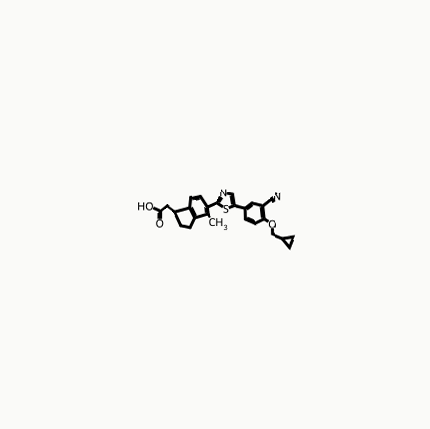 Cc1c(-c2ncc(-c3ccc(OCC4CC4)c(C#N)c3)s2)ccc2c1CCC2CC(=O)O